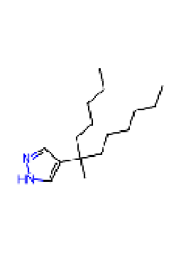 CCCCCCC(C)(CCCCC)c1cn[nH]c1